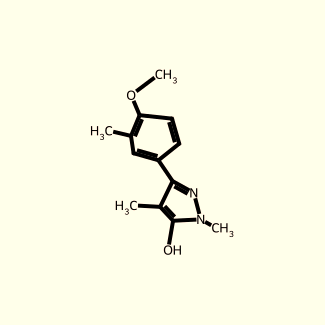 COc1ccc(-c2nn(C)c(O)c2C)cc1C